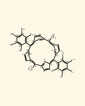 Fc1c(F)c(F)c(C2=C3C=CC(=N3)C(C(F)(F)F)=C3C=CC(=N3)C(c3c(F)c(F)c(F)c(F)c3F)=C3C=CC(=N3)C(C(F)(F)F)=C3C=CC2=N3)c(F)c1F